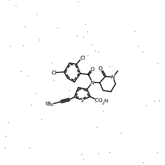 CN1CCCC(N(C(=O)c2ccc(Cl)cc2Cl)c2cc(C#CC(C)(C)C)sc2C(=O)O)C1=O